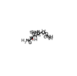 CC(C)NC(=O)O[C@@H]1CC[C@H](c2cc(NC(=O)C34CC(C(N)=O)(C3)C4)n(C(C)(C)C)n2)C1